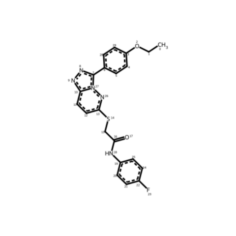 CCOc1ccc(-c2nnc3ccc(SCC(=O)Nc4ccc(F)cc4)nn23)cc1